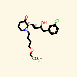 O=C(O)COCCCCN1CCCC(=O)[C@H]1/C=C/C(O)Cc1cccc(Cl)c1